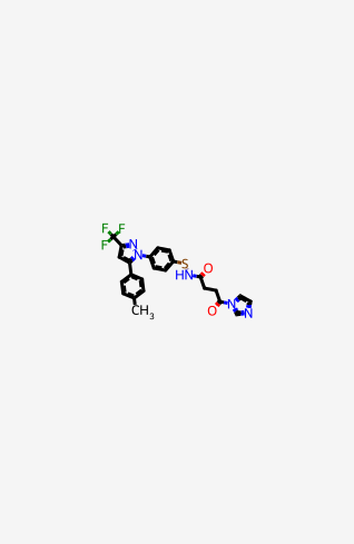 Cc1ccc(-c2cc(C(F)(F)F)nn2-c2ccc(SNC(=O)CCC(=O)n3ccnc3)cc2)cc1